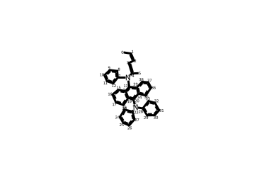 C/C=C\C=C(/C)N(c1ccccc1)c1c2ccccc2c(N(c2ccccc2)c2ccccc2)c2ccccc12